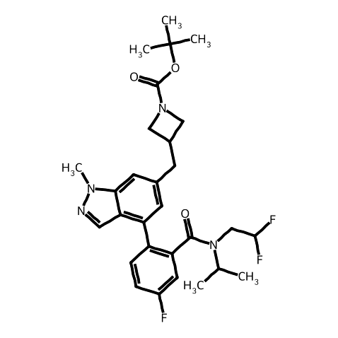 CC(C)N(CC(F)F)C(=O)c1cc(F)ccc1-c1cc(CC2CN(C(=O)OC(C)(C)C)C2)cc2c1cnn2C